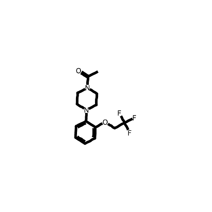 CC(=O)N1CCN(c2ccccc2OCC(F)(F)F)CC1